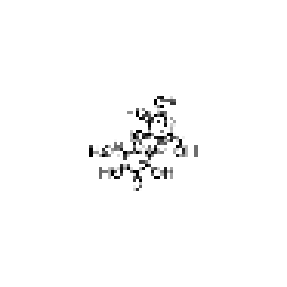 CO[C@@H]1OC(CO)[C@@H](O[C@@H]2OC(CO)[C@@H](O)C(=O)C2O)[C@H](O)C1O